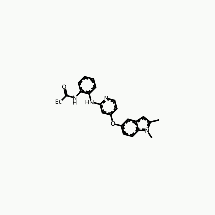 CCC(=O)Nc1ccccc1Nc1cc(Oc2ccc3c(c2)cc(C)n3C)ccn1